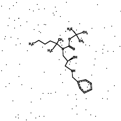 CCCCC(C)(C)N(C[C@@H](O)CNCc1ccccc1)C(=O)OC(C)(C)C